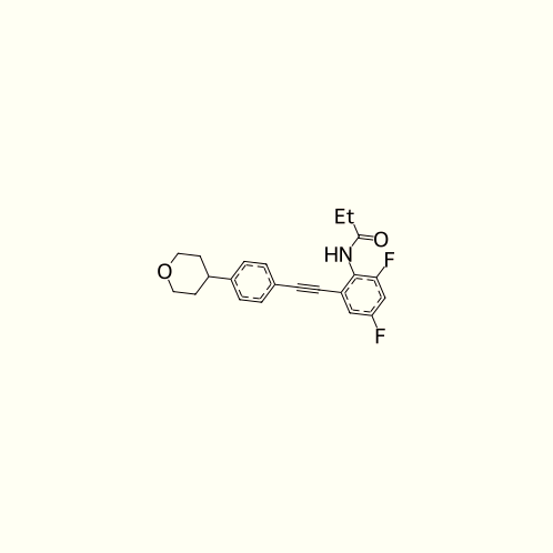 CCC(=O)Nc1c(F)cc(F)cc1C#Cc1ccc(C2CCOCC2)cc1